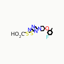 Cc1ccc(F)cc1OC1CCN(c2cnc3nc(SCC(=O)O)sc3n2)CC1